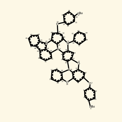 CCCCc1ccc(Oc2cc3c4c(c2)Oc2cc5c(cc2B4c2ccccc2O3)B2c3c(cc(Oc4ccc(CCCC)cc4)cc3-n3c4ccccc4c4cccc2c43)N5c2ccccc2)cc1